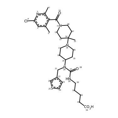 Cc1cc(Cl)nc(C)c1C(=O)N1CCC(C)(N2CCC(N(Cc3ccsc3)C(=O)NCCCCC(=O)O)CC2)CC1